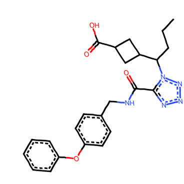 CCCC(C1CC(C(=O)O)C1)n1nnnc1C(=O)NCc1ccc(Oc2ccccc2)cc1